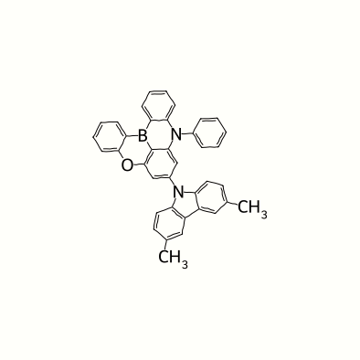 Cc1ccc2c(c1)c1cc(C)ccc1n2-c1cc2c3c(c1)N(c1ccccc1)c1ccccc1B3c1ccccc1O2